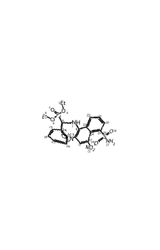 CCOP(=O)(OCC)C(Nc1c([N+](=O)[O-])cc([N+](=O)[O-])c2c(S(N)(=O)=O)cccc12)c1ccccc1